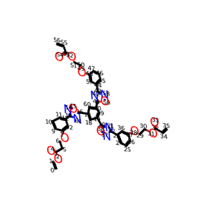 C=COC(=O)CCOc1cccc(-c2noc(-c3cc(-c4nc(-c5cccc(OCCOC(=O)C=C)c5)no4)cc(-c4nc(-c5cccc(OCCOC(=O)C=C)c5)no4)c3)n2)c1